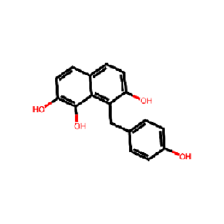 Oc1ccc(Cc2c(O)ccc3ccc(O)c(O)c23)cc1